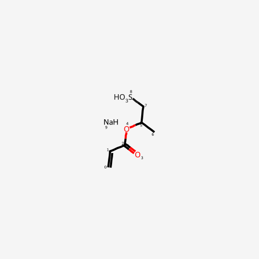 C=CC(=O)OC(C)CS(=O)(=O)O.[NaH]